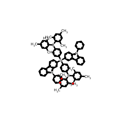 Cc1cc(C)c(B(c2ccc([Si](c3ccc(B(c4c(C)cc(C)cc4C)c4c(C)cc(C)cc4C)cc3)(c3ccc4c(c3)c3ccccc3n4-c3ccccc3)c3ccc4c5ccccc5n(-c5ccccc5)c4c3)cc2)c2c(C)cc(C)cc2C)c(C)c1